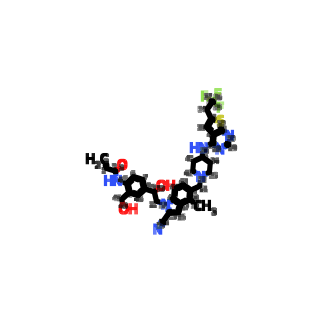 C=CC(=O)Nc1ccc(C(O)Cn2c(C#N)cc3c(C)c(CN4CCC(Nc5ncnc6sc(CC(F)(F)F)cc56)CC4)ccc32)cc1CO